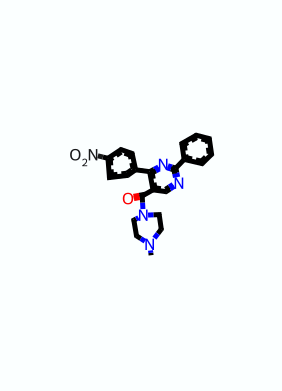 CN1CCN(C(=O)c2cnc(-c3ccccc3)nc2-c2ccc([N+](=O)[O-])cc2)CC1